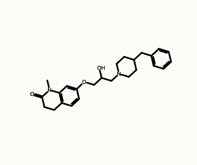 CN1C(=O)CCc2ccc(OCC(O)CN3CCC(Cc4ccccc4)CC3)cc21